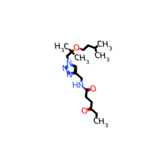 CCC(=O)CCC(=O)NCc1cn(CC(C)(C)OCCC(C)C)nn1